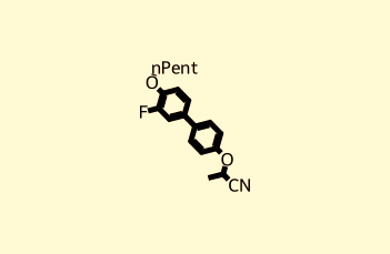 CCCCCOc1ccc(-c2ccc(OC(C)C#N)cc2)cc1F